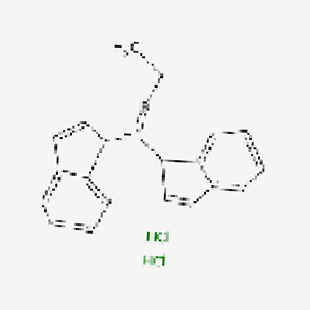 CC[B]=[Hf]([CH]1C=Cc2ccccc21)[CH]1C=Cc2ccccc21.Cl.Cl